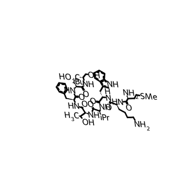 CC[C@H](C)[C@H](NC(=O)[C@H](Cc1ccccc1)NC(=O)[C@@H](NC(=O)[C@@H](NC(=O)[C@H](Cc1c[nH]c2ccccc12)NC(=O)[C@H](CCCCN)NC(=O)[C@@H](N)CCSC)C(C)C)[C@@H](C)O)C(=O)N[C@@H](CO)C(=O)O